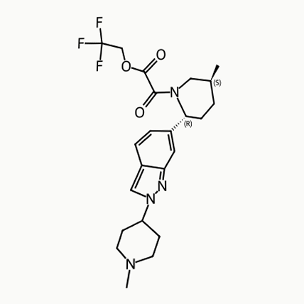 C[C@H]1CC[C@H](c2ccc3cn(C4CCN(C)CC4)nc3c2)N(C(=O)C(=O)OCC(F)(F)F)C1